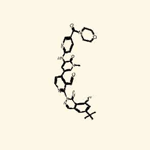 Cn1cc(-c2ccnc(-n3ncc4cc(C(C)(C)C)cc(F)c4c3=O)c2C=O)cc(Nc2ccc(C(=O)N3CCOCC3)cn2)c1=O